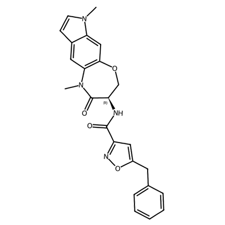 CN1C(=O)[C@H](NC(=O)c2cc(Cc3ccccc3)on2)COc2cc3c(ccn3C)cc21